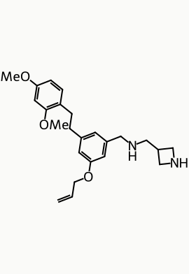 C=CCOc1cc(CCc2ccc(OC)cc2OC)cc(CNCC2CNC2)c1